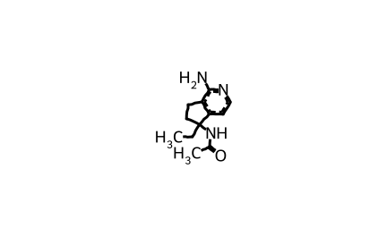 CCC1(NC(C)=O)CCc2c1ccnc2N